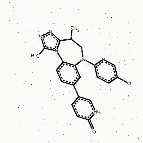 Cc1nnc2n1-c1ccc(-c3ccc(=O)[nH]c3)cc1N(c1ccc(Cl)cn1)CC2C